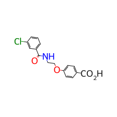 O=C(O)c1ccc(OCCNC(=O)c2cccc(Cl)c2)cc1